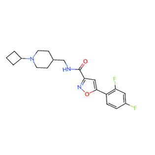 O=C(NCC1CCN(C2CCC2)CC1)c1cc(-c2ccc(F)cc2F)on1